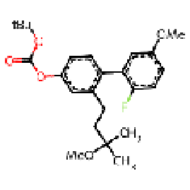 COc1ccc(F)c(-c2ccc(OC(=O)OC(C)(C)C)cc2CCC(C)(C)OC)c1